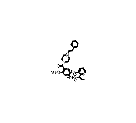 C/C=C(\c1ncccc1CC)S(=O)(=O)Nc1ccc(C(=O)N2CCN(CCC3=CCCC=C3)CC2)c(OC)c1